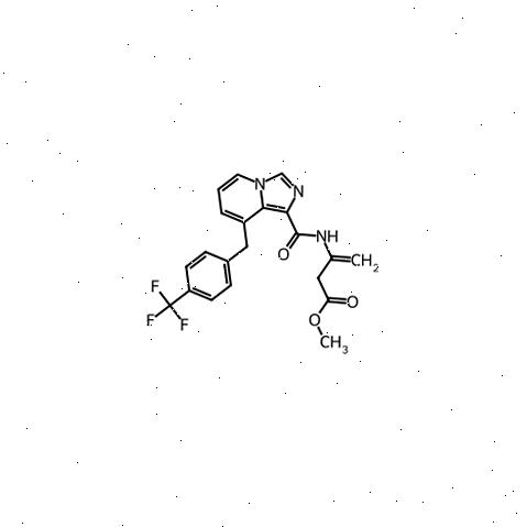 C=C(CC(=O)OC)NC(=O)c1ncn2cccc(Cc3ccc(C(F)(F)F)cc3)c12